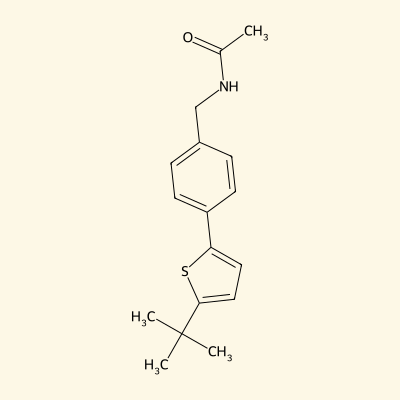 CC(=O)NCc1ccc(-c2ccc(C(C)(C)C)s2)cc1